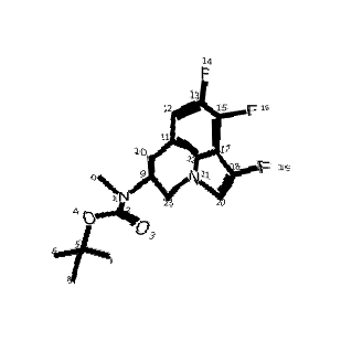 CN(C(=O)OC(C)(C)C)C1Cc2cc(F)c(F)c3c(F)cn(c23)C1